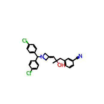 CC(O)(C=C1CN(C(c2ccc(Cl)cc2)c2ccc(Cl)cc2)C1)Cc1cccc(C#N)c1